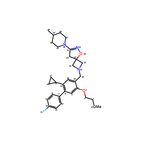 COCCOc1cc(-c2ccc(F)cc2)c(C2CC2)cc1CN1CC2(CC(N3CCC(C)CC3)=NO2)C1